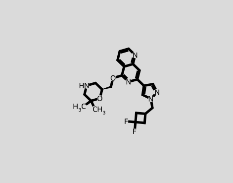 CC1(C)CNC[C@@H](COc2nc(-c3cnn(CC4CC(F)(F)C4)c3)cc3ncccc23)O1